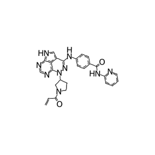 C=CC(=O)N1CCC(N2N=C(Nc3ccc(C(=O)Nc4ccccn4)cc3)c3c[nH]c4ncnc2c34)C1